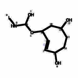 OC1/C=C/C(OC(O)NI)CC(O)CC1